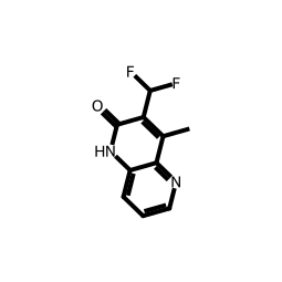 Cc1c(C(F)F)c(=O)[nH]c2cccnc12